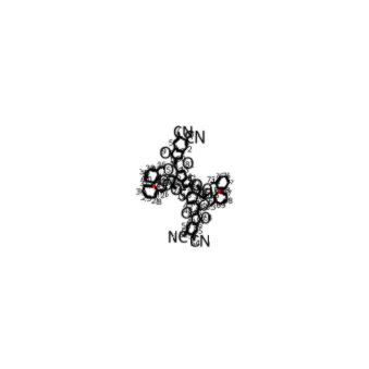 N#Cc1cc2c(cc1C#N)C(=O)C(=CC1=Cc3sc4c5c(sc4c3C1(C(=O)OCc1ccccc1)C(=O)OCc1ccccc1)C=C(C=C1C(=O)c3cc(C#N)c(C#N)cc3C1=O)C5(C(=O)OCc1ccccc1)C(=O)OCc1ccccc1)C2=O